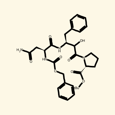 CC(C)(C)OC(=O)[C@H]1CCCN1C(=O)C(O)[C@H](Cc1ccccc1)NC(=O)[C@H](CC(N)=O)NC(=O)OCc1ccccc1